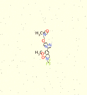 COc1cc(-c2cnc3cc(OCCN4CCOC[C@H]4C)ccn23)cc2c1C(=O)N(CC(F)(F)F)CC2